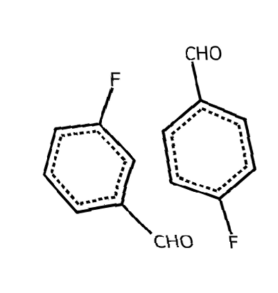 O=Cc1ccc(F)cc1.O=Cc1cccc(F)c1